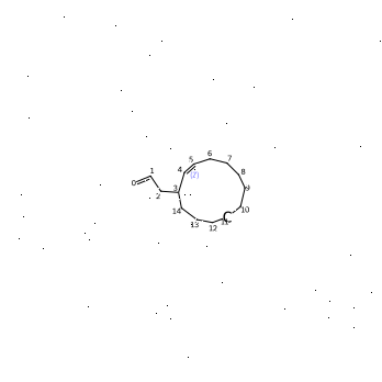 C=CCC1/C=C\CCCCCCCCC1